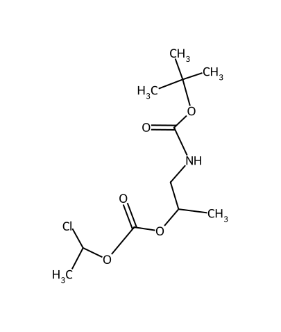 CC(Cl)OC(=O)OC(C)CNC(=O)OC(C)(C)C